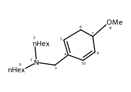 CCCCCCN(CCCCCC)CC1=CCC(OC)C=C1